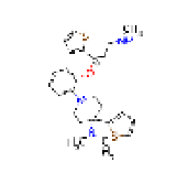 CNCC[C@@H](Oc1ccccc1N1CCC(c2cccs2)(N(C)C)CC1)c1cccs1